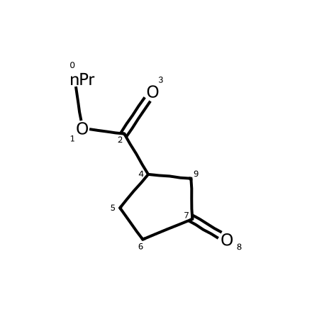 CCCOC(=O)C1CCC(=O)C1